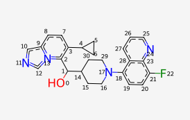 OC(c1c(C2CC2)ccc2cncn12)C1CCN(c2ccc(F)c3ncccc23)CC1